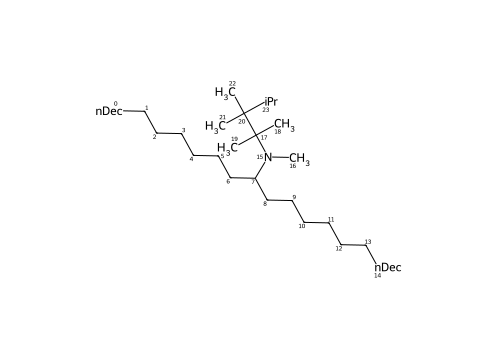 CCCCCCCCCCCCCCCCC(CCCCCCCCCCCCCCCC)N(C)C(C)(C)C(C)(C)C(C)C